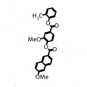 COc1ccc2cc(C(=O)Oc3ccc(C(=O)Oc4ccccc4C)cc3OC)ccc2c1